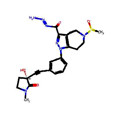 CN1CC[C@@](O)(C#Cc2cccc(-n3nc(C(=O)N=NN)c4c3CCN([S+](C)[O-])C4)c2)C1=O